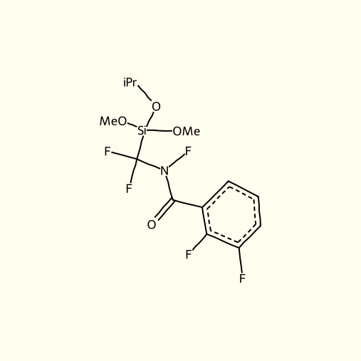 CO[Si](OC)(OC(C)C)C(F)(F)N(F)C(=O)c1cccc(F)c1F